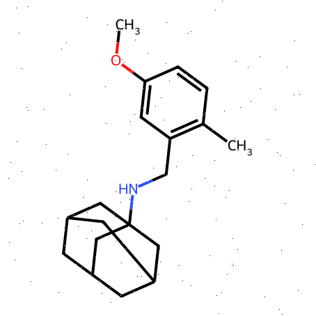 COc1ccc(C)c(CNC23CC4CC(CC(C4)C2)C3)c1